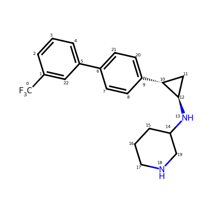 FC(F)(F)c1cccc(-c2ccc([C@@H]3C[C@H]3NC3CCCNC3)cc2)c1